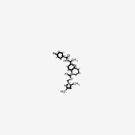 Cc1cc(C)n(COC(=O)N2CCCc3nc(C(C)NC(=O)c4ccc(F)cc4)ccc32)n1